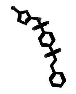 O=S(=O)(CCc1ccccc1)c1ccc(S(=O)(=O)Nc2ncc(Cl)s2)cc1